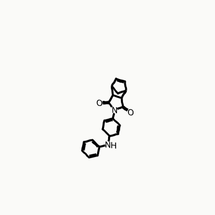 O=C1C2C3C=CC(C3)C2C(=O)N1C1=CCC(Nc2ccccc2)C=C1